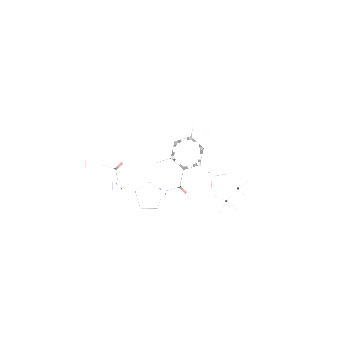 Cc1cc(Cl)cc(B2OC(C)(C)C(C)(C)O2)c1C(=O)N1C[C@H](C)[C@H](NC(=O)O)C1